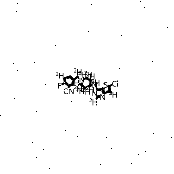 [2H]c1nc(N([2H])C2([2H])C([2H])([2H])C([2H])([2H])N(C([2H])c3cc([2H])c(F)c(C#N)c3)C([2H])([2H])C2([2H])[2H])c2sc(Cl)c([2H])c2n1